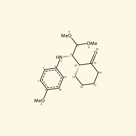 COc1ccc(N[C@H](C(OC)OC)[C@H]2CCCCC2=O)cc1